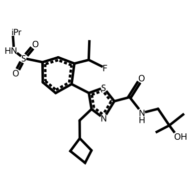 CC(C)NS(=O)(=O)c1ccc(-c2sc(C(=O)NCC(C)(C)O)nc2CC2CCC2)c(C(C)F)c1